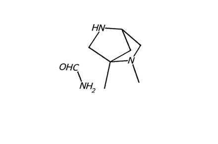 CN1CC2CC1(C)CN2.NC=O